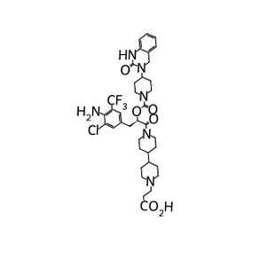 Nc1c(Cl)cc(C[C@@H](OC(=O)N2CCC(N3Cc4ccccc4NC3=O)CC2)C(=O)N2CCC(C3CCN(CCC(=O)O)CC3)CC2)cc1C(F)(F)F